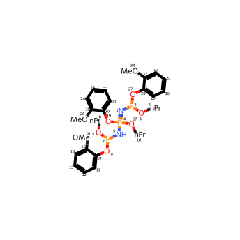 CCCOP(N=P(NP(OCCC)Oc1ccccc1OC)(OCCC)Oc1ccccc1OC)Oc1ccccc1OC